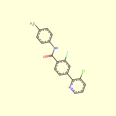 O=C(Nc1ccc(C(F)(F)F)cc1)c1ccc(-c2ncccc2Cl)cc1F